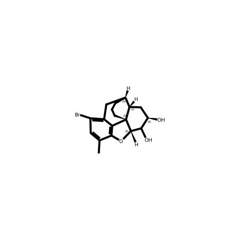 Cc1cc(Br)c2c3c1O[C@H]1C(O)[C@H](O)C[C@H]4[C@H](CCC[C@]314)C2